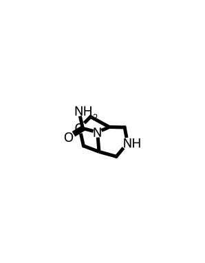 NC(=O)N1C2CNCC1COC2